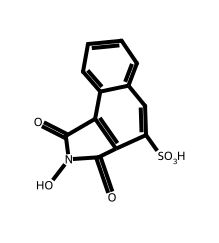 O=C1c2c(S(=O)(=O)O)cc3ccccc3c2C(=O)N1O